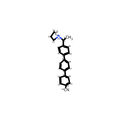 CC(c1ccc(-c2ccc(-c3ccc(C#N)cc3)cc2)cc1)N1CCCC1